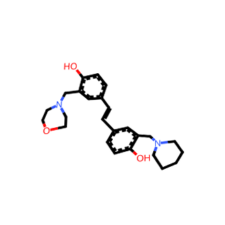 Oc1ccc(/C=C/c2ccc(O)c(CN3CCOCC3)c2)cc1CN1CCCCC1